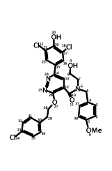 COc1ccc(CN(CCO)C(=O)c2cc(-c3cc(Cl)c(O)c(Cl)c3)nnc2OCCc2ccc(Cl)cc2)cc1